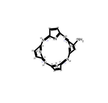 NC1=CC2=NC/1=N\C1=NC(=N\C3=NC(=N\C4=NC(=N\2)/C=C4)/C=C3)/C=C1